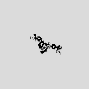 Cn1cncc1-c1ccc(NC(=O)C(Cc2cc(-c3ccnc(C(C)(O)C4CC4)c3)ccc2Cl)NC(=O)C2(F)CC2)cc1